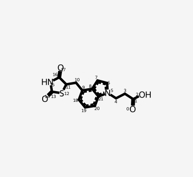 O=C(O)CCn1ccc2c(CC3SC(=O)NC3=O)cccc21